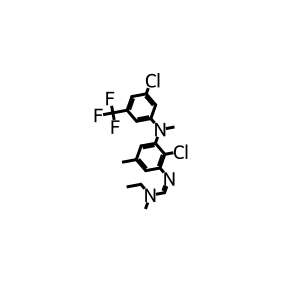 CCN(C)/C=N\c1cc(C)cc(N(C)c2cc(Cl)cc(C(F)(F)F)c2)c1Cl